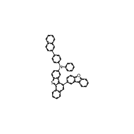 c1ccc(N(c2ccc(-c3ccc4ccccc4c3)cc2)c2ccc3sc4c5ccccc5cc(-c5ccc6oc7ccccc7c6c5)c4c3c2)cc1